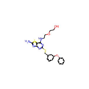 Nc1nc2nc(SCc3cccc(Oc4ccccc4)c3)nc(NCCOCCO)c2s1